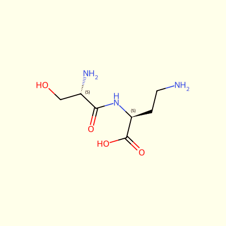 NCC[C@H](NC(=O)[C@@H](N)CO)C(=O)O